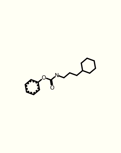 O=C([N]CCCC1CCCCC1)Oc1ccccc1